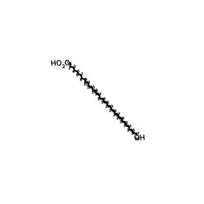 O=C(O)CCCCCCCCCCCCCCCCCCCCCCCCCCCCCCCCCCCCCO